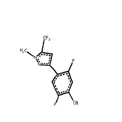 Cn1nc(-c2cc(F)c(C#N)cc2F)cc1C(F)(F)F